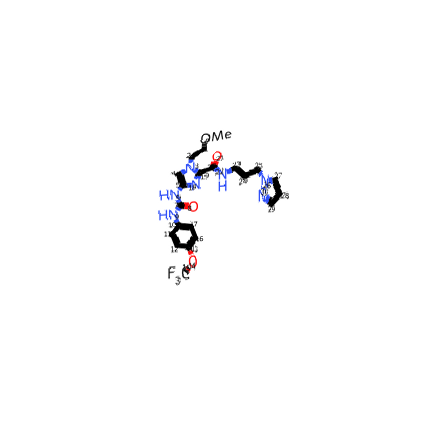 COCCn1cc(NC(=O)Nc2ccc(OC(F)(F)F)cc2)nc1C(=O)NCCCn1cccn1